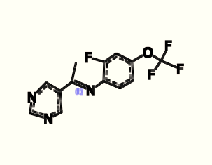 C/C(=N\c1ccc(OC(F)(F)F)cc1F)c1cncnc1